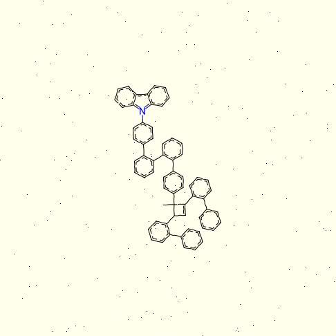 CC1(c2ccc(-c3ccccc3-c3ccccc3-c3ccc(-n4c5ccccc5c5ccccc54)cc3)cc2)C(c2ccccc2-c2ccccc2)=CC1c1ccccc1-c1ccccc1